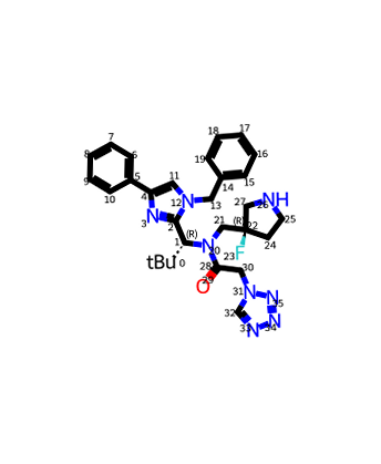 CC(C)(C)[C@H](c1nc(-c2ccccc2)cn1Cc1ccccc1)N(C[C@@]1(F)CCNC1)C(=O)Cn1cnnn1